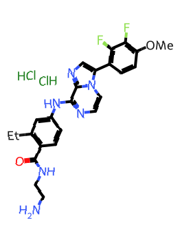 CCc1cc(Nc2nccn3c(-c4ccc(OC)c(F)c4F)cnc23)ccc1C(=O)NCCN.Cl.Cl